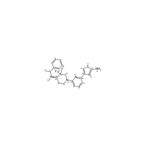 CC(c1ccccc1)N(C)[C@@H]1CCN(c2cccc(-c3csc(N)n3)n2)CC1(F)F